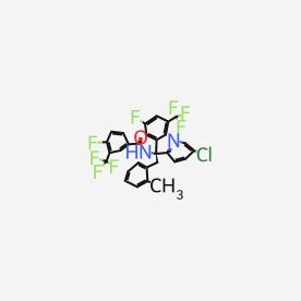 Cc1ccccc1C[C@@](NC(=O)c1ccc(F)c(C(F)(F)F)c1)(c1cc(F)cc(C(F)(F)F)c1)c1ccc(Cl)cn1